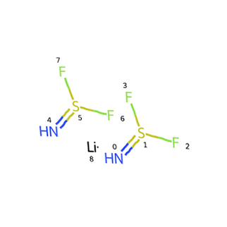 N=S(F)F.N=S(F)F.[Li]